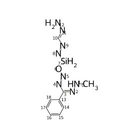 CNN=C(N=NO[SiH2]N=NC=NN)c1ccccc1